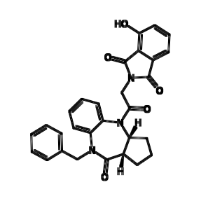 O=C1c2cccc(O)c2C(=O)N1CC(=O)N1c2ccccc2N(Cc2ccccc2)C(=O)[C@H]2CCC[C@H]21